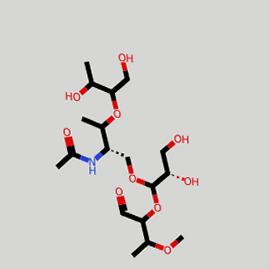 COC(C)C(C=O)OC(OC[C@H](NC(C)=O)C(C)OC(CO)C(C)O)[C@@H](O)CO